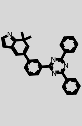 CC1(C)C=C(c2cccc(-c3nc(-c4ccccc4)nc(-c4ccccc4)n3)c2)C=C2C=CN=C21